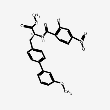 COC(=O)[C@H](Cc1ccc(-c2cccc(OC)c2)cc1)NC(=O)c1ccc([N+](=O)[O-])cc1Cl